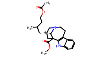 COC(=O)C12C[C@H](CC(C)CCOC(C)=O)CN(CCc3c1[nH]c1ccccc31)C2C